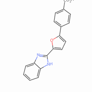 O=C(O)c1ccc(-c2ccc(-c3nc4ccccc4[nH]3)o2)cc1